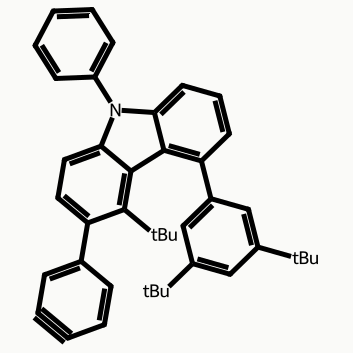 CC(C)(C)c1cc(-c2cccc3c2c2c(C(C)(C)C)c(-c4cc#ccc4)ccc2n3-c2ccccc2)cc(C(C)(C)C)c1